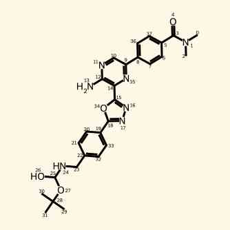 CN(C)C(=O)c1ccc(-c2cnc(N)c(-c3nnc(-c4ccc(CNC(O)OC(C)(C)C)cc4)o3)n2)cc1